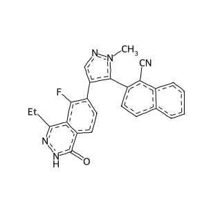 CCc1n[nH]c(=O)c2ccc(-c3cnn(C)c3-c3ccc4ccccc4c3C#N)c(F)c12